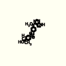 CN(c1ncnc2[nH]ccc12)[C@H]1CC[C@H](CS(=O)(=O)N2CCC(C(C)(C)O)CC2)CC1